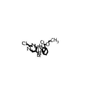 CCOC(=O)[C@@H]1C2CCC(CC2)[C@H]1Nc1nc(Cl)ncc1Br